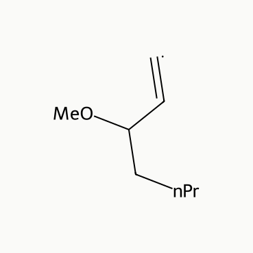 [CH]=CC(CCCC)OC